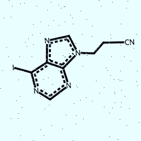 N#CCCn1cnc2c(I)ncnc21